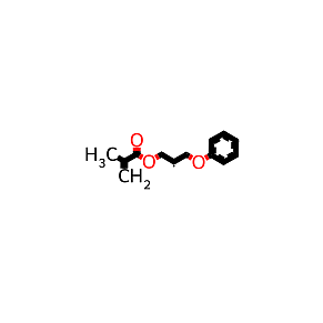 C=C(C)C(=O)OC[CH]COc1ccccc1